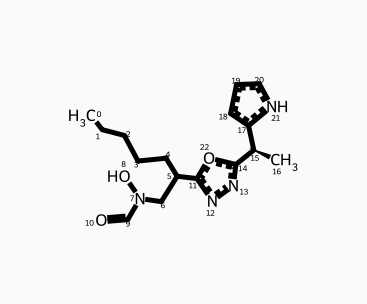 CCCCCC(CN(O)C=O)c1nnc([C@H](C)c2ccc[nH]2)o1